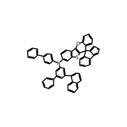 c1ccc(-c2ccc(N(c3cc(-c4ccccc4)cc(-c4cccc5ccccc45)c3)c3ccc4c5c(sc4c3)C3(c4ccccc4O5)c4ccccc4-c4ccccc43)cc2)cc1